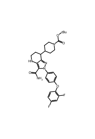 CC(C)(C)OC(=O)N1CCC(C2CCNc3c2nn(-c2ccc(Oc4ccc(F)cc4F)cc2)c3C(N)=O)CC1